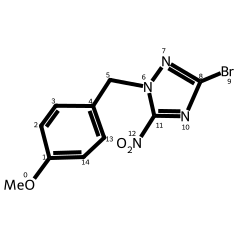 COc1ccc(Cn2nc(Br)nc2[N+](=O)[O-])cc1